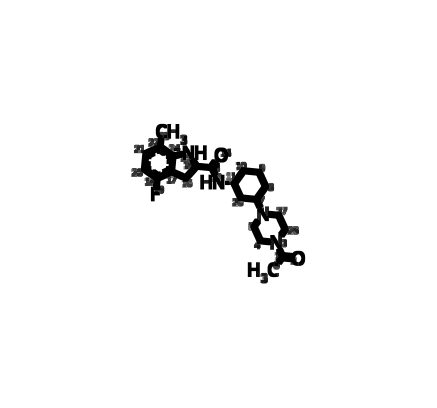 CC(=O)N1CCN(C2CCC[C@@H](NC(=O)C3Cc4c(F)ccc(C)c4N3)C2)CC1